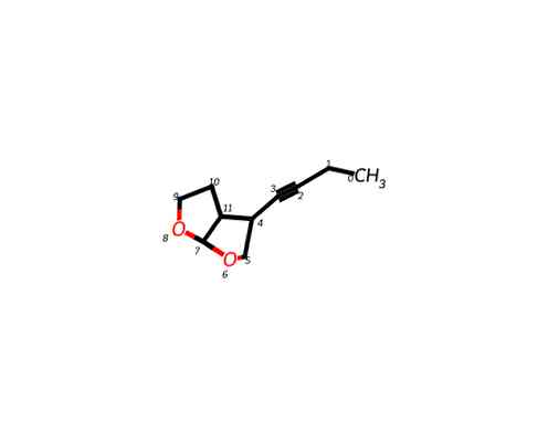 CCC#CC1COC2OCCC12